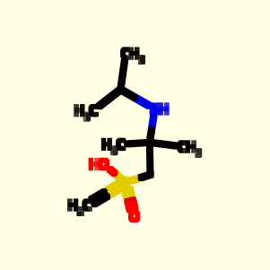 C=S(=O)(O)CC(C)(C)NC(C)C